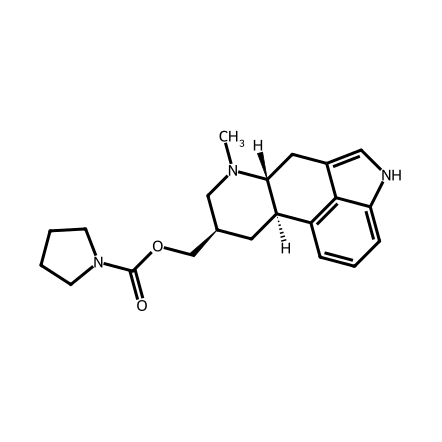 CN1C[C@H](COC(=O)N2CCCC2)C[C@@H]2c3cccc4[nH]cc(c34)C[C@H]21